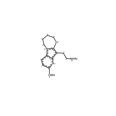 COc1ccc2c(n1)c(CCNC(C)=O)c1n2CCCCO1